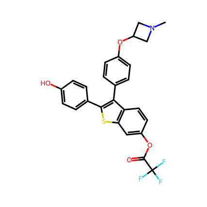 CN1CC(Oc2ccc(-c3c(-c4ccc(O)cc4)sc4cc(OC(=O)C(F)(F)F)ccc34)cc2)C1